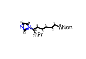 CCCCCCCCCCCCCCC(CCC)n1ccnc1